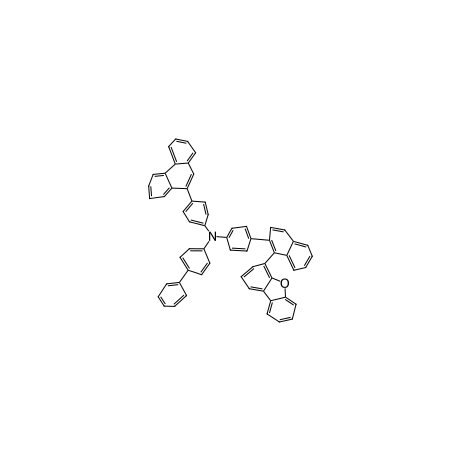 c1ccc(-c2ccc(N(c3ccc(-c4ccc5ccccc5c4-c4cccc5c4oc4ccccc45)cc3)c3ccc(-c4cc5ccccc5c5ccccc45)cc3)cc2)cc1